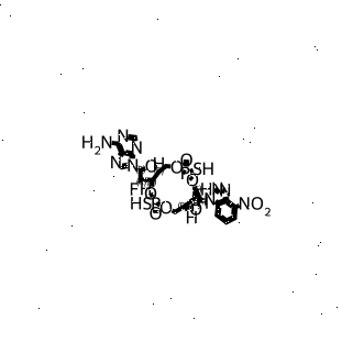 Nc1ncnc2c1ncn2[C@@H]1O[C@@H]2COP(=O)(S)O[C@@H]3[C@H](F)[C@@H](COP(=O)(S)O[C@H]2[C@H]1F)O[C@H]3n1nnc2c([N+](=O)[O-])cccc21